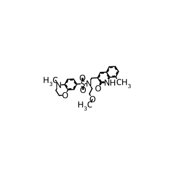 COCCN(Cc1cc2cccc(C)c2[nH]c1=O)S(=O)(=O)c1ccc2c(c1)OCCN2C